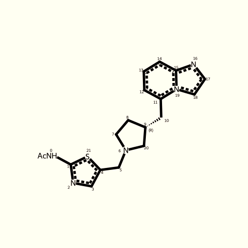 CC(=O)Nc1ncc(CN2CC[C@H](Cc3cccc4nccn34)C2)s1